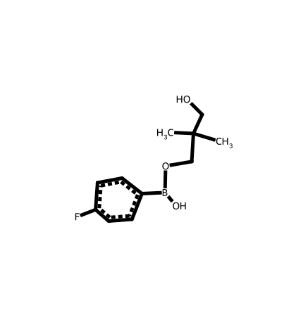 CC(C)(CO)COB(O)c1ccc(F)cc1